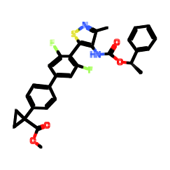 COC(=O)C1(c2ccc(-c3cc(F)c(-c4snc(C)c4NC(=O)O[C@H](C)c4ccccc4)c(F)c3)cc2)CC1